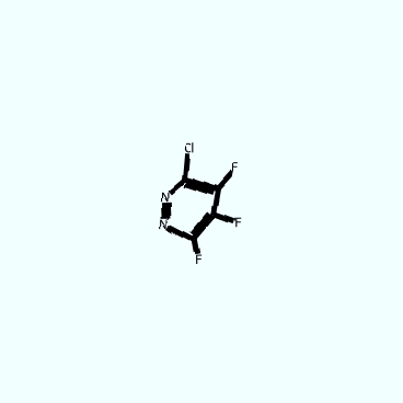 Fc1nnc(Cl)c(F)c1F